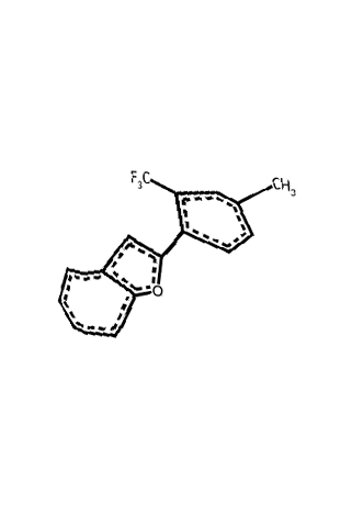 Cc1ccc(-c2cc3ccccc3o2)c(C(F)(F)F)c1